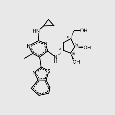 Cc1nc(NC2CC2)nc(N[C@@H]2C[C@H](CO)[C@@H](O)[C@H]2O)c1-c1nc2ccccc2s1